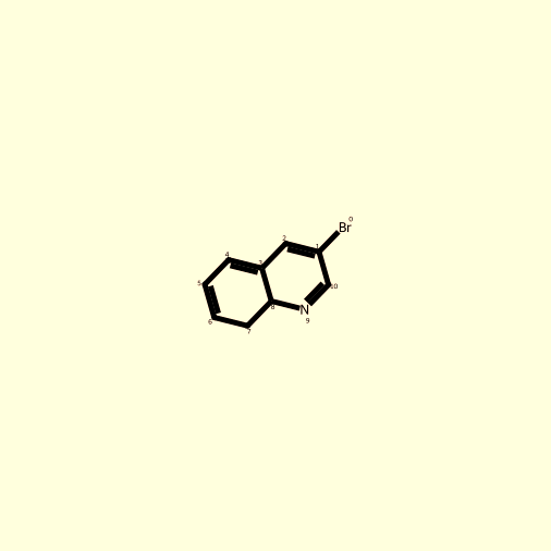 BrC1=CC2=CC=CCC2N=C1